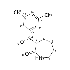 O=C1NCCCCC1[S+]([O-])c1cc(Cl)cc(Cl)c1